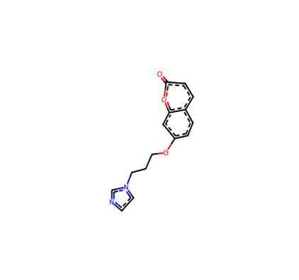 O=c1ccc2ccc(OCCCn3ccnc3)cc2o1